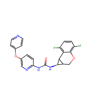 O=C(Nc1ccc(Oc2ccncc2)cn1)N[C@@H]1C2COc3c(F)ccc(F)c3C21